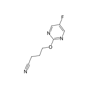 N#CCCCOc1ncc(F)cn1